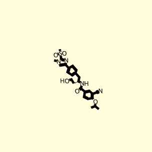 CC(C)Oc1ccc(C(=O)N[C@H](CCO)Cc2ccc(-c3cn(C)c(S(C)(=O)=O)n3)cc2)cc1C#N